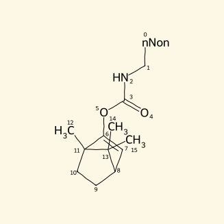 CCCCCCCCCCNC(=O)OC1=CC2CCC1(C)C2(C)C